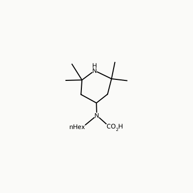 CCCCCCN(C(=O)O)C1CC(C)(C)NC(C)(C)C1